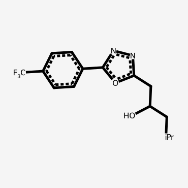 CC(C)CC(O)Cc1nnc(-c2ccc(C(F)(F)F)cc2)o1